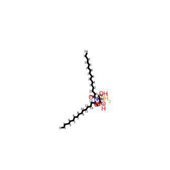 CCCCCCCCCCCCCCCC(=O)N(C(=O)CCCCCCCCCCCCCCC)C(P)(CO)C(=O)O